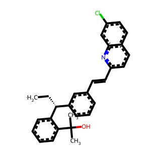 [CH2]C[C@H](c1cccc(C=Cc2ccc3ccc(Cl)cc3n2)c1)c1ccccc1C(C)(C)O